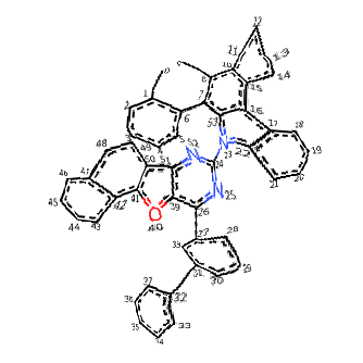 Cc1ccccc1-c1c(C)c2ccccc2c2c3ccccc3n(-c3nc(-c4cccc(-c5ccccc5)c4)c4oc5c6ccccc6ccc5c4n3)c12